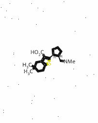 CNC[C@@H]1CCC[C@@H]1c1sc2c(c1C(=O)O)CC(C)(C)CC2